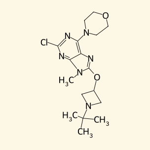 Cn1c(OC2CN(C(C)(C)C)C2)nc2c(N3CCOCC3)nc(Cl)nc21